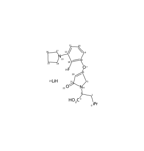 CC(C)CC(C(=O)O)N1CC(Oc2cccc(N3CCCC3)c2F)=CC1=O.[LiH]